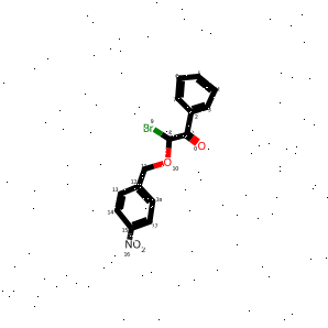 O=C(c1ccccc1)C(Br)OCc1ccc([N+](=O)[O-])cc1